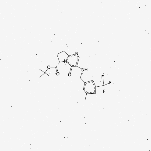 Cc1cc(CNc2cnc3n(c2=O)[C@H](C(=O)OC(C)(C)C)CC3)cc(C(F)(F)F)c1